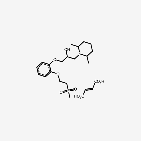 CC1CCCC(C)N1CC(O)COc1ccccc1OCCS(C)(=O)=O.O=C(O)C=CC(=O)O